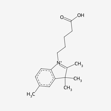 CC1=[N+](CCCCC(=O)O)c2ccc(C)cc2C1(C)C